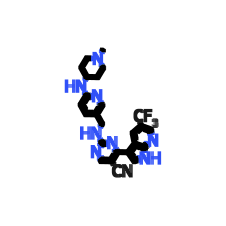 CN1CCC(Nc2ccc(CNc3ncc(C#N)c(-c4c[nH]c5ncc(C(F)(F)F)cc45)n3)cn2)CC1